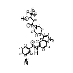 Cn1cc(C2CCN(C(=O)C[C@@H](O)C(F)(F)F)CC2)c2cc(NC(=O)c3cccc(C#N)c3)ccc21